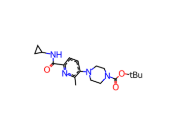 Cc1nc(C(=O)NC2CC2)ccc1N1CCN(C(=O)OC(C)(C)C)CC1